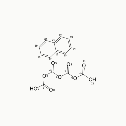 O=C(O)OC(=O)OC(=O)OC(=O)O.c1ccc2ccccc2c1